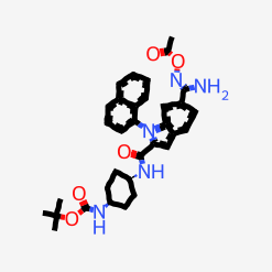 CC(=O)ON=C(N)c1ccc2cc(C(=O)N[C@H]3CC[C@H](NC(=O)OC(C)(C)C)CC3)n(-c3cccc4ccccc34)c2c1